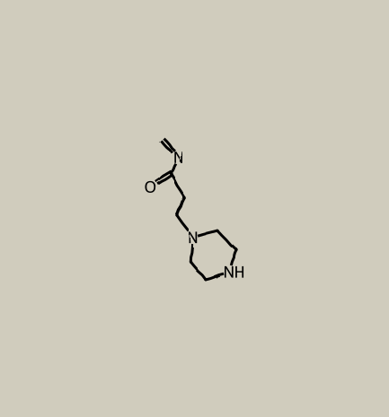 C=NC(=O)CCN1CCNCC1